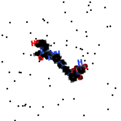 C=CCn1c(=O)c2cnc(Nc3ccc(N4CCN(C5CC6(C5)CN(c5cccc7c5C(=O)N(C5CCC(=O)NC5=O)C7=O)C6)CC4)cc3)nc2n1-c1ccc2c(n1)[C@@](O)(CC)CC2